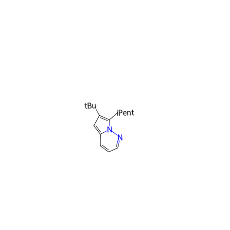 CCCC(C)c1c(C(C)(C)C)cc2cccnn12